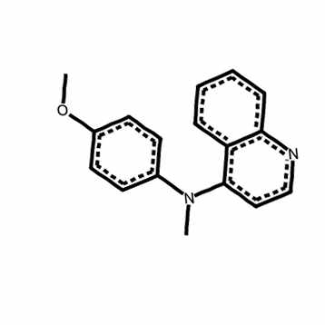 COc1ccc(N(C)c2ccnc3ccccc23)cc1